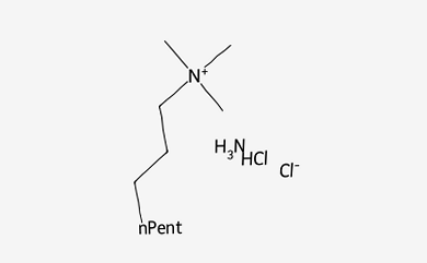 CCCCCCCC[N+](C)(C)C.Cl.N.[Cl-]